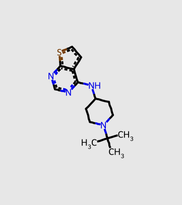 CC(C)(C)N1CCC(Nc2ncnc3sccc23)CC1